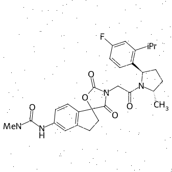 CNC(=O)Nc1ccc2c(c1)CCC21OC(=O)N(CC(=O)N2[C@@H](c3ccc(F)cc3C(C)C)CC[C@@H]2C)C1=O